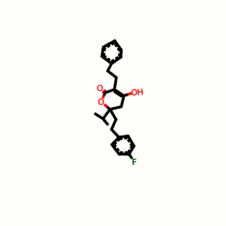 CC(C)C1(CCc2ccc(F)cc2)CC(O)=C(CCc2ccccc2)C(=O)O1